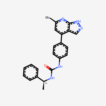 C[C@H](NC(=O)Nc1ccc(-c2cc(C(C)(C)C)nc3[nH]ncc23)cc1)c1ccccc1